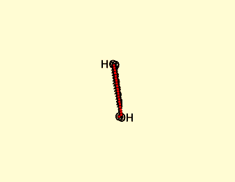 O=C(O)CCCCCCCC=CCC=CCCCCCCCCCCCCCCC=CCC=CCCCCCCCC(=O)O